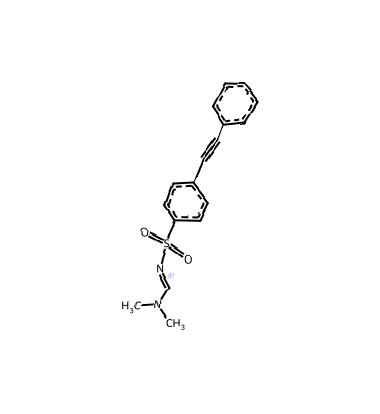 CN(C)/C=N/S(=O)(=O)c1ccc(C#Cc2ccccc2)cc1